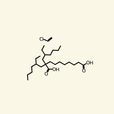 C=CCl.CCCCC(CC)CC(CCCCCCCC(=O)O)(CC(CC)CCCC)C(=O)O